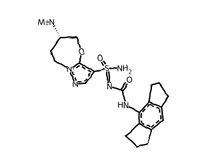 CN[C@H]1CCn2ncc(S(N)(=O)=NC(=O)Nc3c4c(cc5c3CCC5)CCC4)c2OC1